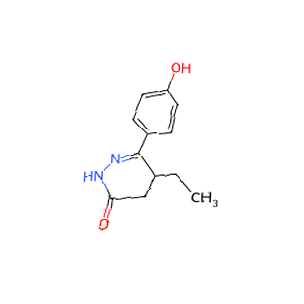 CCC1CC(=O)NN=C1c1ccc(O)cc1